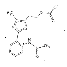 CC(=O)Nc1ccccc1-c1nc(C)c(CCO[N+](=O)[O-])s1